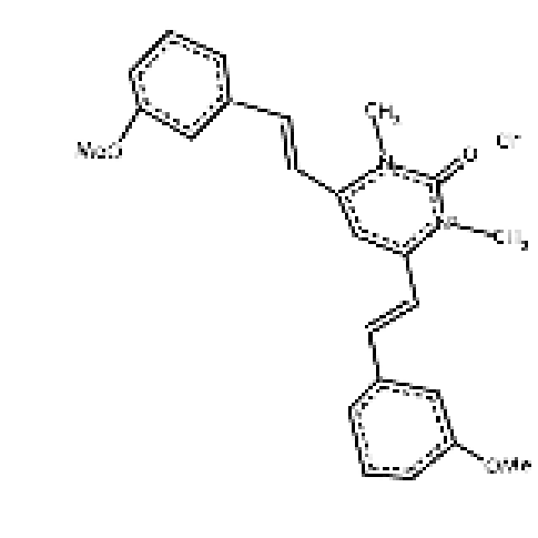 COc1cccc(C=Cc2cc(C=Cc3cccc(OC)c3)[n+](C)c(=O)n2C)c1.[Cl-]